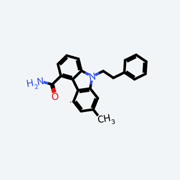 Cc1c[c]c2c3c(C(N)=O)cccc3n(CCc3ccccc3)c2c1